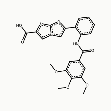 COc1cc(C(=O)Nc2ccccc2-c2cn3cc(C(=O)O)sc3n2)cc(OC)c1OC